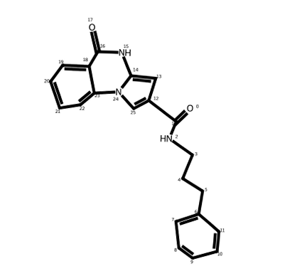 O=C(NCCCc1ccccc1)c1cc2[nH]c(=O)c3ccccc3n2c1